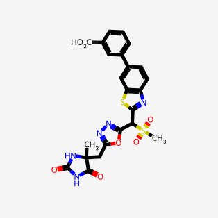 CC1(Cc2nnc(C(c3nc4ccc(-c5cccc(C(=O)O)c5)cc4s3)S(C)(=O)=O)o2)NC(=O)NC1=O